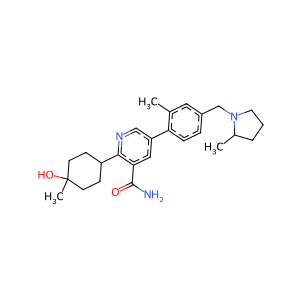 Cc1cc(CN2CCCC2C)ccc1-c1cnc(C2CCC(C)(O)CC2)c(C(N)=O)c1